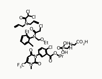 C=CCN(CC=C)C(=O)C(Cl)Cl.CC(C)OC(=O)c1cc(-n2c(=O)cc(C(F)(F)F)n(C)c2=O)ccc1Cl.CCOCN(C(=O)CCl)c1c(C)cccc1CC.O=C(O)CNCP(=O)(O)O